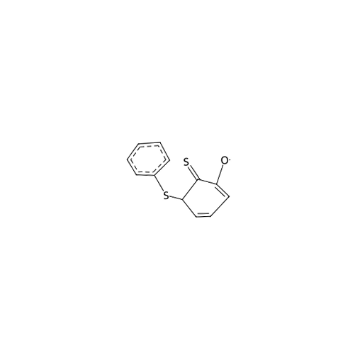 [O]C1=CC=CC(Sc2ccccc2)C1=S